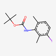 Cc1ccc(I)c(C)c1NC(=O)OC(C)(C)C